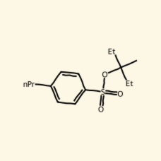 CCCc1ccc(S(=O)(=O)OC(C)(CC)CC)cc1